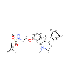 CN1CCCC(Cc2ccccc2)(c2cccc(OCCNS(=O)(=O)CC3CC3)c2)C1